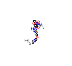 CCN1CCC(Oc2ccc(-c3ncc(CNC(=O)c4ccc5c(c4C)NC(=O)c4ccccc4O5)s3)cc2)CC1